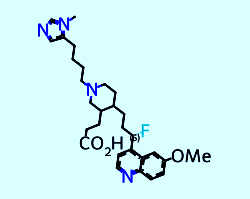 COc1ccc2nccc([C@@H](F)CCC3CCN(CCCCc4cncn4C)CC3CCC(=O)O)c2c1